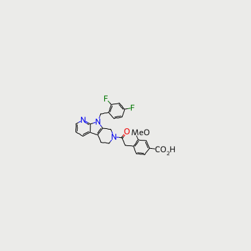 COc1cc(C(=O)O)ccc1CC(=O)N1CCc2c(n(Cc3ccc(F)cc3F)c3ncccc23)C1